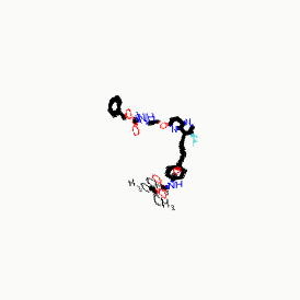 CC(C)(C)OC(=O)NC12CCC(CCc3c(F)cnc4ccc(OCCNC(=O)OCc5ccccc5)nc34)(CC1)OC2